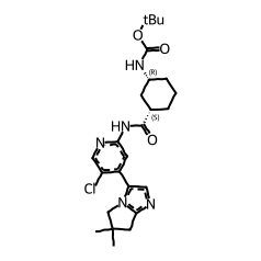 CC1(C)Cc2ncc(-c3cc(NC(=O)[C@H]4CCC[C@@H](NC(=O)OC(C)(C)C)C4)ncc3Cl)n2C1